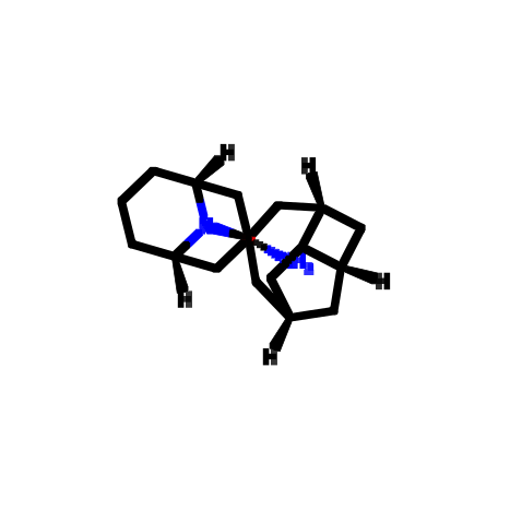 N[C@H]1C[C@H]2CCC[C@@H](C1)N2[C@@H]1C[C@@H]2CC3[C@@H](C2)C[C@H]3C1